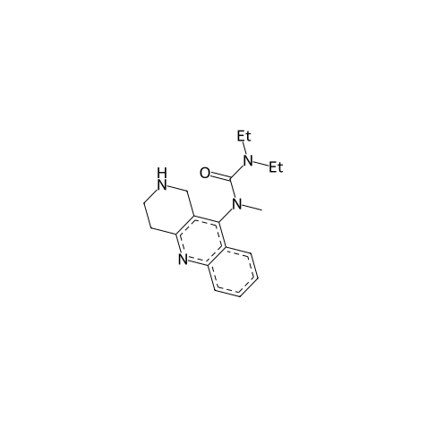 CCN(CC)C(=O)N(C)c1c2c(nc3ccccc13)CCNC2